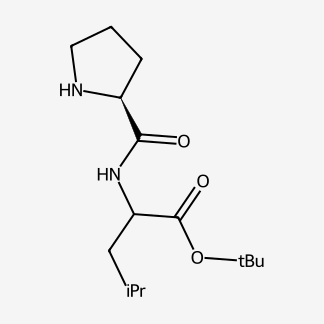 CC(C)CC(NC(=O)[C@@H]1CCCN1)C(=O)OC(C)(C)C